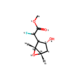 COC(=O)C(F)C1[C@H](O)C[C@@H]2O[C@H]12